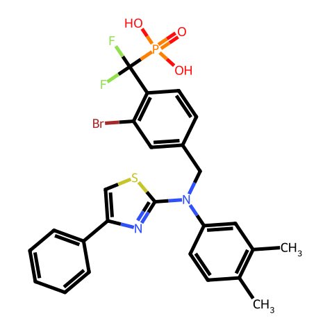 Cc1ccc(N(Cc2ccc(C(F)(F)P(=O)(O)O)c(Br)c2)c2nc(-c3ccccc3)cs2)cc1C